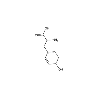 NC(CC1=CCC(O)C=C1)C(=O)O